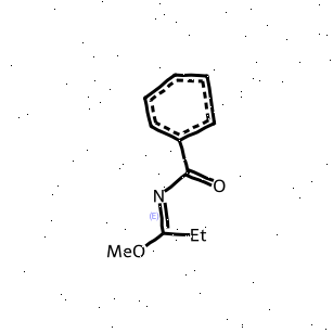 CC/C(=N\C(=O)c1ccccc1)OC